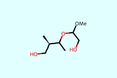 COC(CO)OC(C)[C@H](C)CO